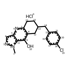 Cl.Cn1ncc2nc3c(c(O)c21)CC(Cc1ccc(Cl)cc1)CC3